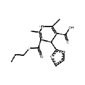 CCCOC(=O)C1=C(C)NC(C)=C(C(=O)O)C1c1nccs1